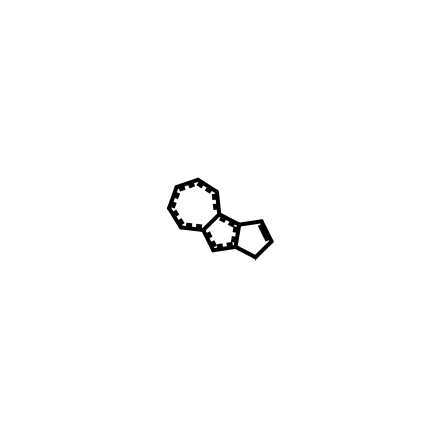 [CH]1C=Cc2c1cc1cccccc2-1